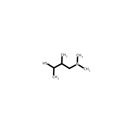 CC(S)C(C)CN(C)C